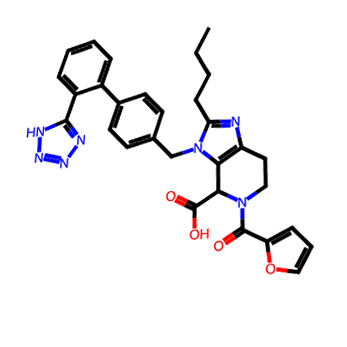 CCCCc1nc2c(n1Cc1ccc(-c3ccccc3-c3nnn[nH]3)cc1)C(C(=O)O)N(C(=O)c1ccco1)CC2